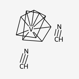 C#N.C#N.[CH]12[CH]3[CH]4[CH]5[CH]1[V]23451678[CH]2[CH]1[CH]6[CH]7[CH]28